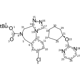 CC(C)(C)OC(=O)N1Cc2cc(Cl)ccc2-n2c(nnc2[C@H]2CC[C@H](Oc3ncccn3)CC2)C1